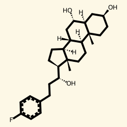 C[C@]12CC[C@H](O)C[C@@H]1[C@@H](O)C[C@@H]1[C@@H]2CC[C@]2(C)[C@@H]([C@H](O)CCc3ccc(F)cc3)CC[C@@H]12